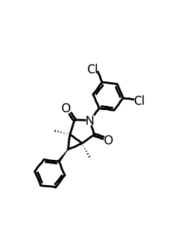 C[C@@]12C(=O)N(c3cc(Cl)cc(Cl)c3)C(=O)[C@]1(C)[C@@H]2c1ccccc1